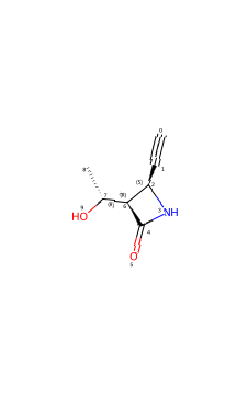 C#C[C@H]1NC(=O)[C@H]1[C@@H](C)O